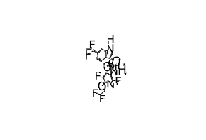 O=S(=O)(Nc1cc(F)c(OCC(F)F)nc1F)c1c[nH]c2cc(C(F)F)ccc12